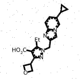 CCc1c(C(=O)O)c(C2COC2)nn1Cc1cn2cc(C3CC3)ccc2n1